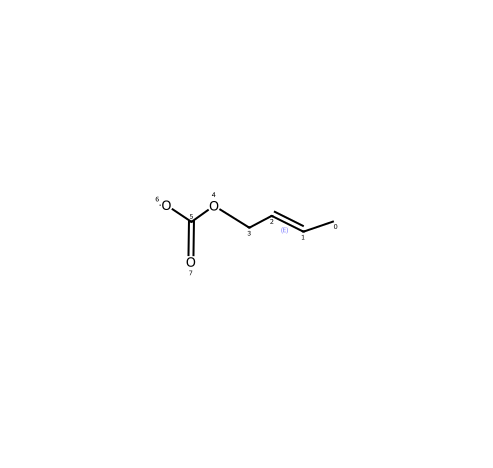 C/C=C/COC([O])=O